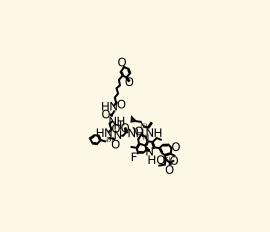 C=C(N[C@H]1CCc2c(C)c(F)cc3nc(-c4ccc(=O)c5c(c4)[C@@](O)(CC)C(=O)OC5)c(CC)c1c23)[C@H](CC1CC1)OCNC(=O)CNC(=O)[C@H](Cc1ccccc1)NC(=O)CNC(=O)CNC(=O)CCCCCC1=CC(=O)C=CC1=O